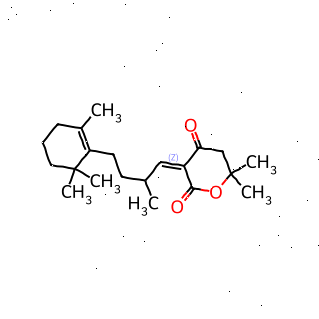 CC1=C(CCC(C)/C=C2/C(=O)CC(C)(C)OC2=O)C(C)(C)CCC1